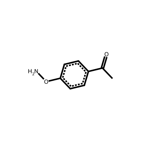 CC(=O)c1ccc(ON)cc1